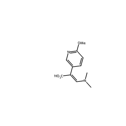 COc1ccc(/C(=C\N(C)C)C(=O)O)cn1